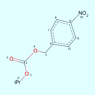 C[C](C)OC(=O)OCc1ccc([N+](=O)[O-])cc1